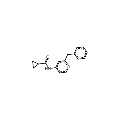 O=C(Nc1ccnc(Cc2ccccc2)c1)C1CC1